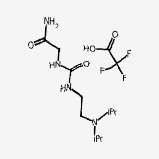 CC(C)N(CCNC(=O)NCC(N)=O)C(C)C.O=C(O)C(F)(F)F